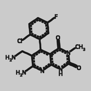 Cn1c(=O)[nH]c2nc(N)c(CN)c(-c3cc(F)ccc3Cl)c2c1=O